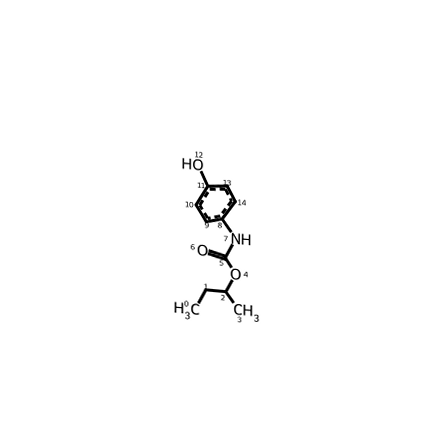 CCC(C)OC(=O)Nc1ccc(O)cc1